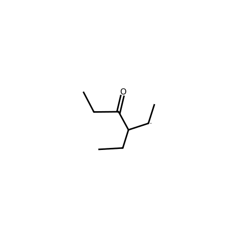 C[CH]C(CC)C(=O)CC